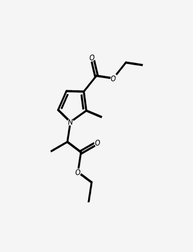 CCOC(=O)c1ccn(C(C)C(=O)OCC)c1C